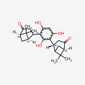 CC1(C)C2C[C@H]1C(=O)C[C@H]2c1c(O)cc(O)c(C2CC(=O)[C@@H]3C[C@H]2C3(C)C)c1O